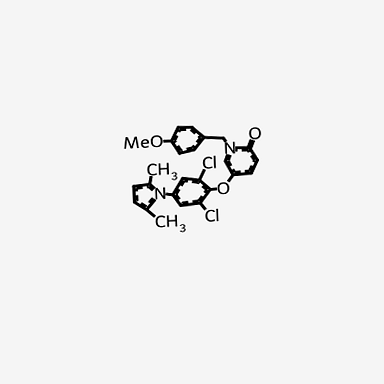 COc1ccc(Cn2cc(Oc3c(Cl)cc(-n4c(C)ccc4C)cc3Cl)ccc2=O)cc1